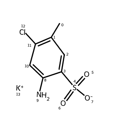 Cc1cc(S(=O)(=O)[O-])c(N)cc1Cl.[K+]